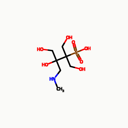 CNCC(O)(CO)C(CO)(CO)S(=O)(=O)O